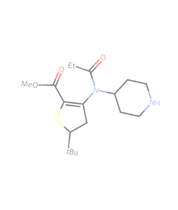 CCC(=O)N(C1=C(C(=O)OC)SC(C(C)(C)C)C1)C1CCNCC1